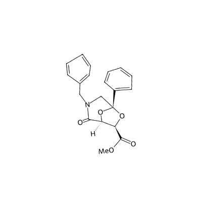 COC(=O)[C@@H]1O[C@@]2(c3ccccc3)CN(Cc3ccccc3)C(=O)[C@H]1O2